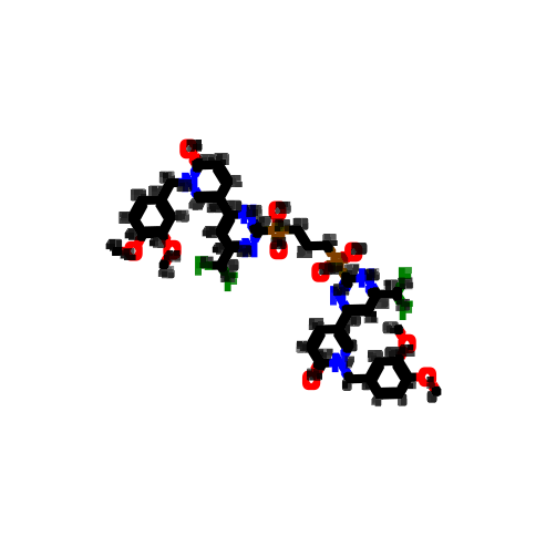 COc1ccc(Cn2cc(-c3cc(C(F)F)nc(S(=O)(=O)CCCS(=O)(=O)c4nc(-c5ccc(=O)n(Cc6ccc(OC)c(OC)c6)c5)cc(C(F)F)n4)n3)ccc2=O)cc1OC